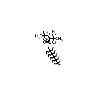 CC(C)(C)CC(C(=O)OCC(F)(F)C(F)(F)C(F)(F)C(F)(F)C(F)(F)F)C(C)(C)C